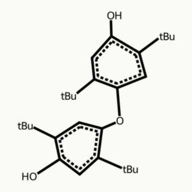 CC(C)(C)c1cc(Oc2cc(C(C)(C)C)c(O)cc2C(C)(C)C)c(C(C)(C)C)cc1O